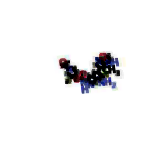 Cc1c(-c2cc3cc(NC(=O)O[C@H]4CCN(C5COC5)C[C@@H]4F)ncc3c(N)c2F)cnc2c1NCCO2